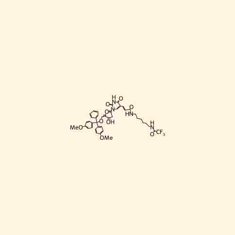 COc1ccc(C(OC[C@H]2O[C@@H](n3cc(C=CC(=O)NCCCCCCNC(=O)C(F)(F)F)c(=O)[nH]c3=O)C[C@@H]2O)(c2ccccc2)c2ccc(OC)cc2)cc1